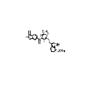 COc1cccc2c(CCc3nc(N)nc(Nc4ccc5[nH]c(C)cc5c4)c3C)c[nH]c12